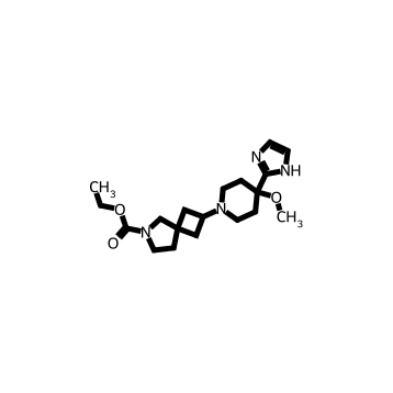 CCOC(=O)N1CCC2(CC(N3CCC(OC)(c4ncc[nH]4)CC3)C2)C1